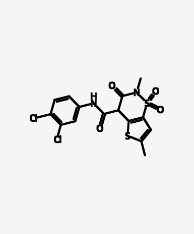 Cc1cc2c(s1)C(C(=O)Nc1ccc(Cl)c(Cl)c1)C(=O)N(C)S2(=O)=O